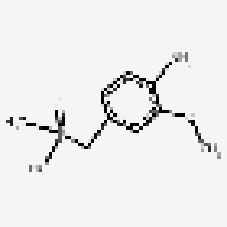 COc1cc(CP(C)(=O)O)ccc1N